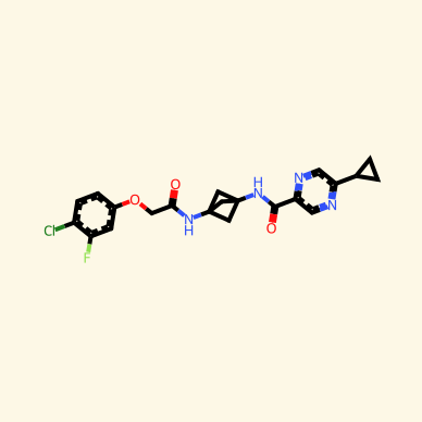 O=C(COc1ccc(Cl)c(F)c1)NC12CC(NC(=O)c3cnc(C4CC4)cn3)(C1)C2